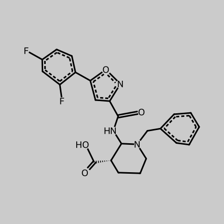 O=C(NC1[C@@H](C(=O)O)CCCN1Cc1ccccc1)c1cc(-c2ccc(F)cc2F)on1